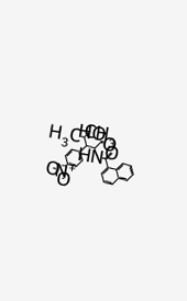 CC(C)C(c1ccc([N+](=O)[O-])cc1)C(NC(=O)c1cccc2ccccc12)C(=O)O